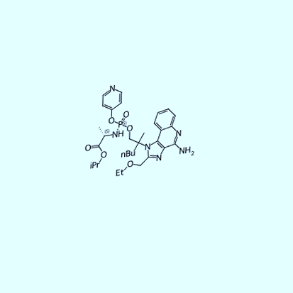 CCCCC(C)(CO[P@@](=O)(N[C@@H](C)C(=O)OC(C)C)Oc1ccncc1)n1c(COCC)nc2c(N)nc3ccccc3c21